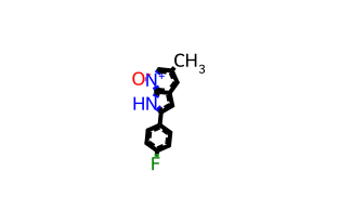 Cc1cc2cc(-c3ccc(F)cc3)[nH]c2[n+]([O-])c1